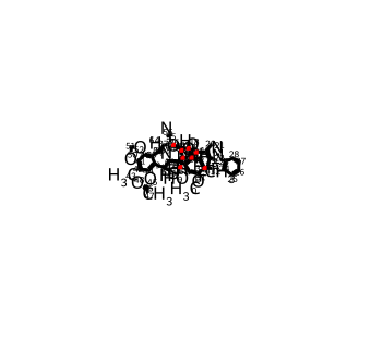 COc1c(C)cc2c(c1O)[C@@H]1[C@@H]3[C@@H]4SCC(NC(=O)c5cnn(-c6ccccc6)c5C(F)(F)F)C(=O)OC[C@@H](c5c6c(c(C)c(OC(C)=O)c54)OCO6)N3[C@@H](C#N)[C@H](C2)N1C